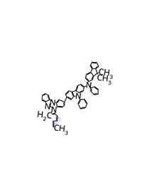 C=C(/C=C\C=C/C)n1c2ccc(-c3ccc4c5ccc(N(c6ccccc6)c6ccc7c(c6)C(C)(C)c6ccccc6-7)cc5n(-c5ccccc5)c4c3)cc2n2c3ccccc3nc12